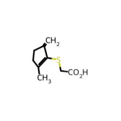 C=C1CCC(C)=C1SCC(=O)O